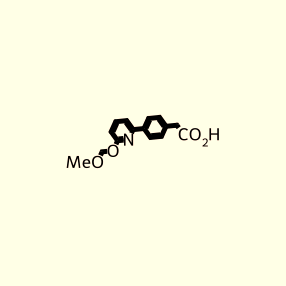 COCOc1cccc(-c2ccc(CC(=O)O)cc2)n1